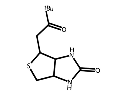 CC(C)(C)C(=O)CC1SCC2NC(=O)NC21